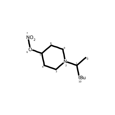 [CH2]C(N1CCC(O[N+](=O)[O-])CC1)C(C)(C)C